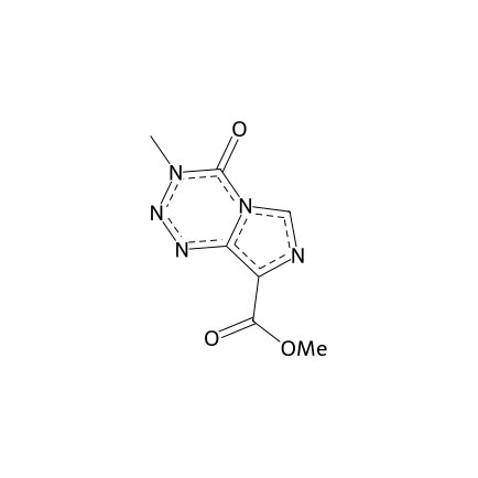 COC(=O)c1ncn2c(=O)n(C)nnc12